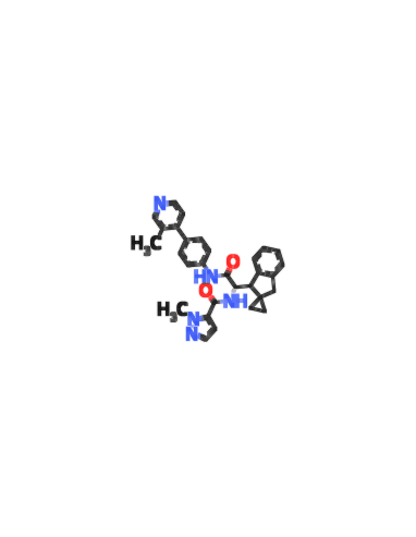 Cc1cnccc1-c1ccc(NC(=O)[C@@H](NC(=O)c2ccnn2C)C2c3ccccc3CC23CC3)cc1